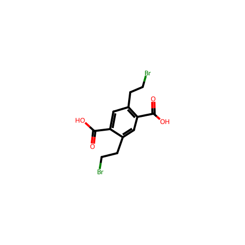 O=C(O)c1cc(CCBr)c(C(=O)O)cc1CCBr